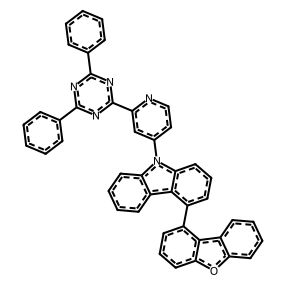 c1ccc(-c2nc(-c3ccccc3)nc(-c3cc(-n4c5ccccc5c5c(-c6cccc7oc8ccccc8c67)cccc54)ccn3)n2)cc1